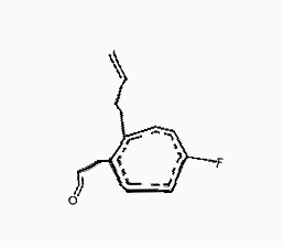 C=CCc1cc(F)ccc1C=O